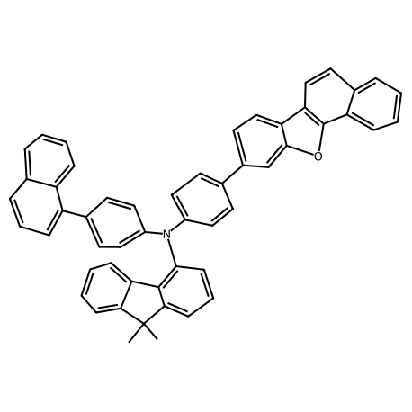 CC1(C)c2ccccc2-c2c(N(c3ccc(-c4ccc5c(c4)oc4c6ccccc6ccc54)cc3)c3ccc(-c4cccc5ccccc45)cc3)cccc21